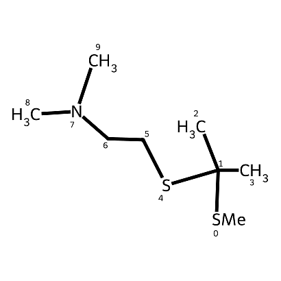 CSC(C)(C)SCCN(C)C